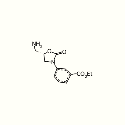 CCOC(=O)c1cccc(N2C[C@H](CN)OC2=O)c1